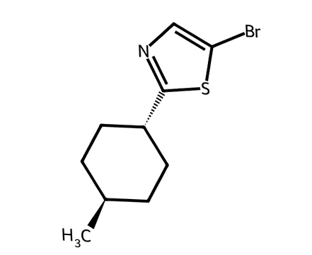 C[C@H]1CC[C@H](c2ncc(Br)s2)CC1